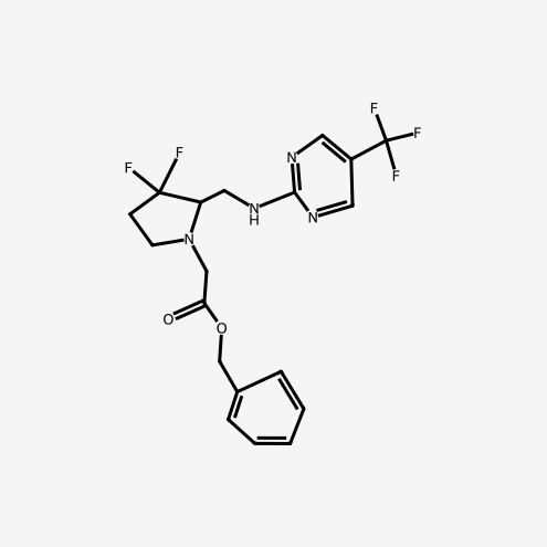 O=C(CN1CCC(F)(F)C1CNc1ncc(C(F)(F)F)cn1)OCc1ccccc1